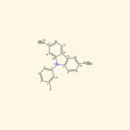 Cc1cccc(-n2c3ccc(C(C)(C)C)cc3c3ccc(C(C)(C)C)cc32)c1